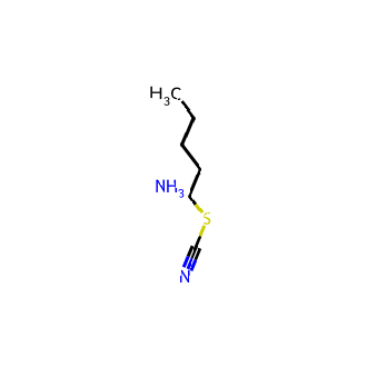 CCCCCSC#N.N